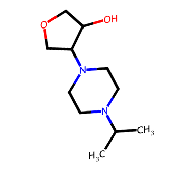 CC(C)N1CCN(C2COCC2O)CC1